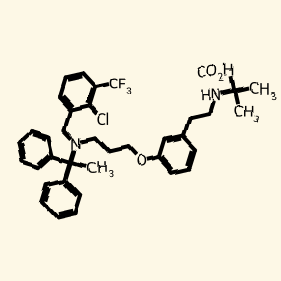 CC(C)(NCCc1cccc(OCCCN(Cc2cccc(C(F)(F)F)c2Cl)C(C)(c2ccccc2)c2ccccc2)c1)C(=O)O